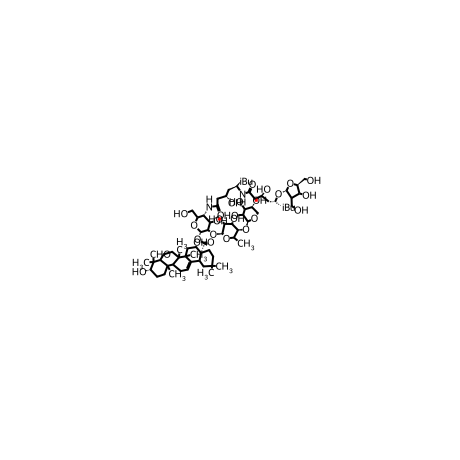 CC[C@H](C)[C@H](C[C@H](O)CC(=O)N[C@H]1C(CO)O[C@@H](OC(=O)[C@]23CCC(C)(C)CC2C2=CCC4C5(C)CC[C@H](O)C(C)(C=O)C5CCC4(C)C2(C)CC3O)C(O[C@@H]2OC(C)[C@H](O[C@@H]3OC[C@@H](O)C(O)C3O)C(O)C2O)C1O)NC(=O)C[C@@H](O)C[C@H](O[C@@H]1O[C@@H](CO)C(O)C1CO)[C@@H](C)CC